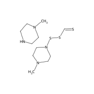 CN1CCN(SSC=S)CC1.CN1CCNCC1